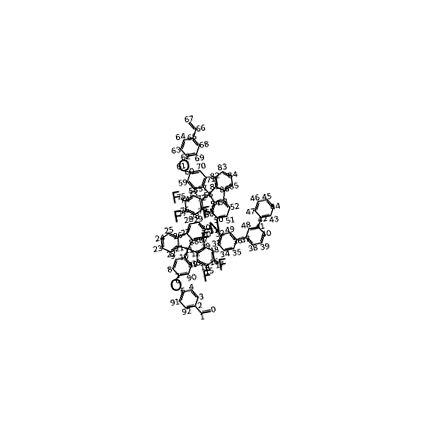 C=Cc1ccc(Oc2ccc(C3(c4cc(F)c(F)cc4F)c4ccccc4-c4ccc(N(c5cccc(-c6cccc(-c7ccccc7)c6)c5)c5ccc6c(c5)C(c5ccc(Oc7ccc(C=C)cc7)cc5)(c5cc(F)c(F)cc5F)c5ccccc5-6)cc43)cc2)cc1